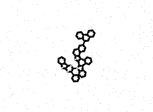 c1ccc(-c2nc3sc4ccccc4c3nc2-n2c3ccccc3c3c4ccccc4c4c(sc5ccc6cc(-c7cc8ccccc8c8ccccc78)ccc6c54)c32)cc1